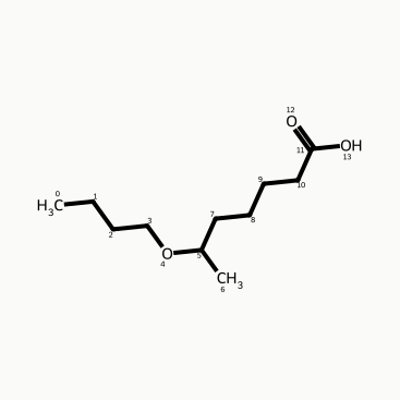 CCCCOC(C)CCCCC(=O)O